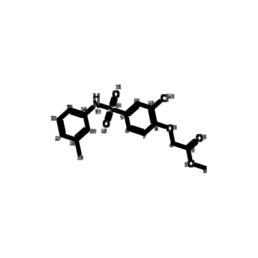 COC(=O)COc1ccc(S(=O)(=O)Nc2cccc(C)c2)cc1Cl